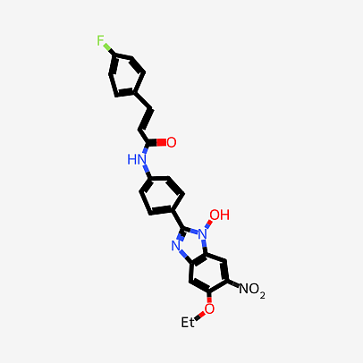 CCOc1cc2nc(-c3ccc(NC(=O)/C=C/c4ccc(F)cc4)cc3)n(O)c2cc1[N+](=O)[O-]